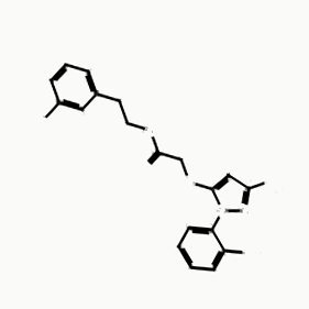 Cc1cccc(CCNC(=O)COc2cc(C(F)(F)F)nn2-c2ccccc2Cl)c1